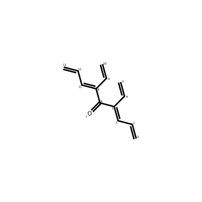 C=C/C=C(\C=C)C(=O)/C(C=C)=C/C=C